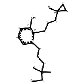 CCC(C)(C)CCCc1cccc(O)c1CCCC1(C)CC1